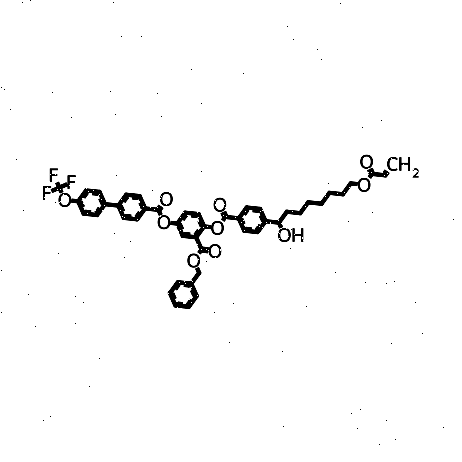 C=CC(=O)OCCCCCCCC(O)c1ccc(C(=O)Oc2ccc(OC(=O)c3ccc(-c4ccc(OC(F)(F)F)cc4)cc3)cc2C(=O)OCc2ccccc2)cc1